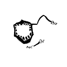 BrCc1ccccc1.N#CO